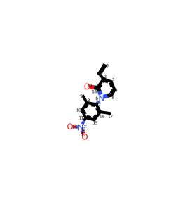 C=Cc1cccn(-c2c(C)cc([N+](=O)[O-])cc2C)c1=O